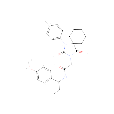 CCC(NC(=O)CN1C(=O)N(c2ccc(C)cc2)C2(CCCCC2)C1=O)c1ccc(OC)cc1